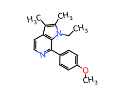 CCn1c(C)c(C)c2ccnc(-c3ccc(OC)cc3)c21